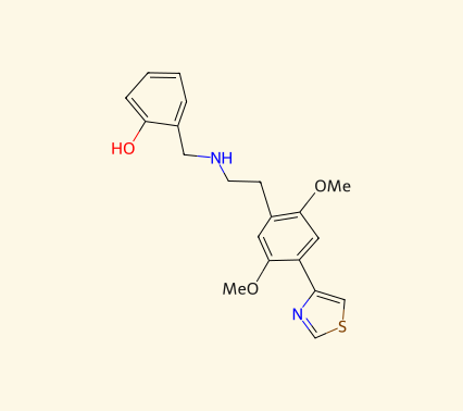 COc1cc(-c2cscn2)c(OC)cc1CCNCc1ccccc1O